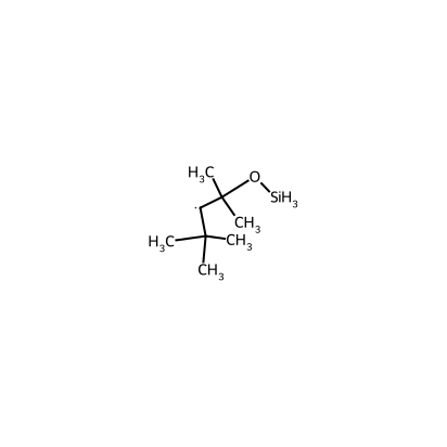 CC(C)(C)[CH]C(C)(C)O[SiH3]